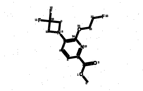 COC(=O)c1ccc(N2CC(F)(F)C2)c(OCCF)n1